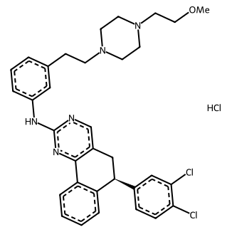 COCCN1CCN(CCc2cccc(Nc3ncc4c(n3)-c3ccccc3[C@H](c3ccc(Cl)c(Cl)c3)C4)c2)CC1.Cl